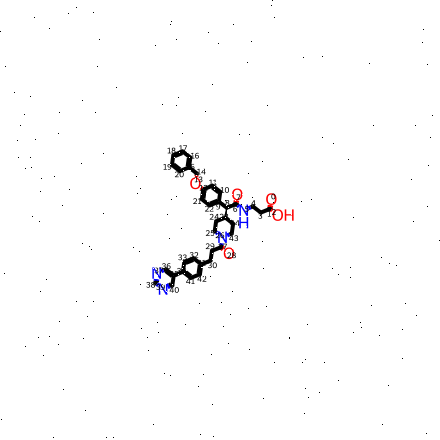 O=C(O)CCNC(=O)[C@H](c1ccc(OCc2ccccc2)cc1)C1CCN(C(=O)CCc2ccc(-c3cncnc3)cc2)CC1